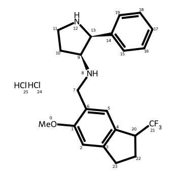 COc1cc2c(cc1CN[C@H]1CCN[C@H]1c1ccccc1)C(C(F)(F)F)CC2.Cl.Cl